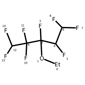 CCOC(F)(C(F)C(F)F)C(F)(F)C(F)F